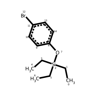 CC[Si](CC)(CC)Oc1ccc(Br)cc1